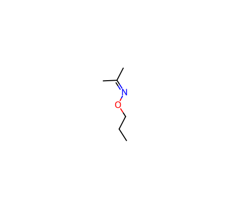 CCCON=C(C)C